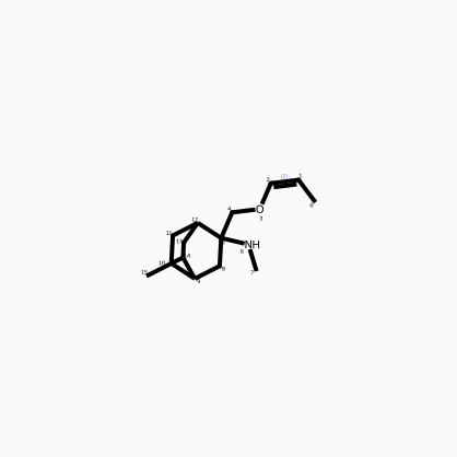 C/C=C\OCC1(NC)CC2CCC1CC2C